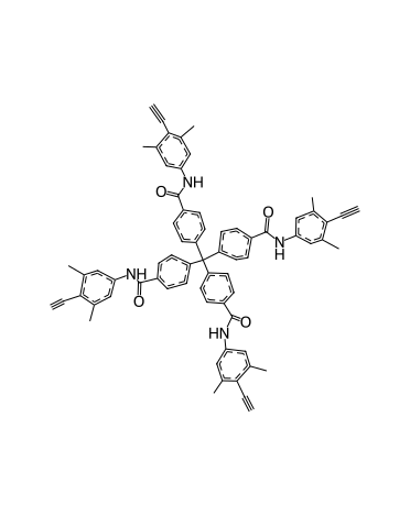 C#Cc1c(C)cc(NC(=O)c2ccc(C(c3ccc(C(=O)Nc4cc(C)c(C#C)c(C)c4)cc3)(c3ccc(C(=O)Nc4cc(C)c(C#C)c(C)c4)cc3)c3ccc(C(=O)Nc4cc(C)c(C#C)c(C)c4)cc3)cc2)cc1C